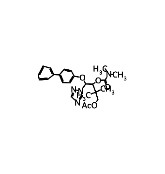 CC(=O)OCC(C)(C)C(OC(=O)N(C)C)C(Oc1ccc(-c2ccccc2)cc1)n1cncn1